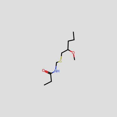 CCCC(CSCNC(=O)CC)OC